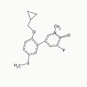 CSc1ccc(OCC2CC2)c(-c2cc(F)c(=O)n(C)c2)c1